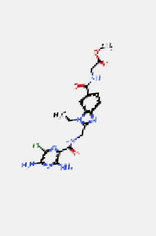 CCn1c(CNC(=O)c2nc(Cl)c(N)nc2N)nc2ccc(C(=O)NCC(=O)OC)cc21